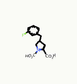 O=C(O)C1CC(Cc2cccc(F)c2)CN1C(=O)O